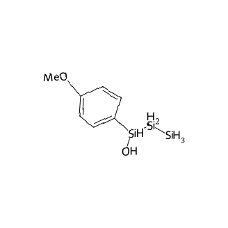 COc1ccc([SiH](O)[SiH2][SiH3])cc1